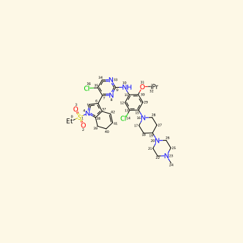 CCS(=O)(=O)n1cc(-c2nc(Nc3cc(Cl)c(N4CCC(N5CCN(C)CC5)CC4)cc3OC(C)C)ncc2Cl)c2c1CCC=C2